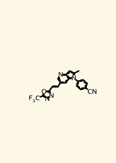 Cc1cc2ncc(/C=C/c3nnc(C(F)(F)F)o3)cc2n1-c1ccc(C#N)cc1